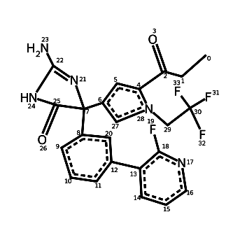 CCC(=O)c1cc(C2(c3cccc(-c4cccnc4F)c3)N=C(N)NC2=O)cn1CC(F)(F)F